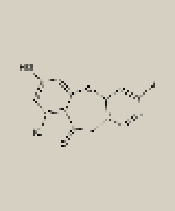 O=C1Cc2ccc(I)cc2Sc2cc(O)cc(O)c21